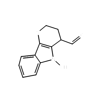 Cn1c2c(c3ccccc31)SCCC2C=O